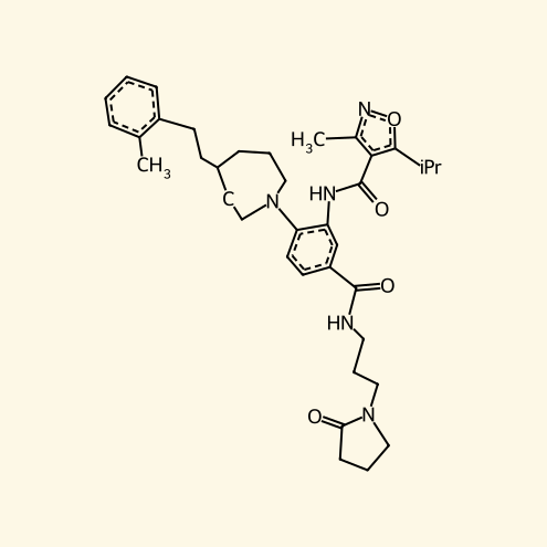 Cc1ccccc1CCC1CCCN(c2ccc(C(=O)NCCCN3CCCC3=O)cc2NC(=O)c2c(C)noc2C(C)C)CC1